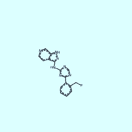 FCc1ccccc1-c1ncnc(Nc2n[nH]c3cnccc23)n1